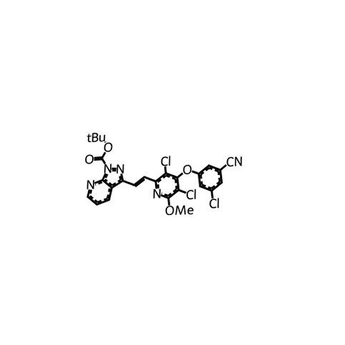 COc1nc(/C=C/c2nn(C(=O)OC(C)(C)C)c3ncccc23)c(Cl)c(Oc2cc(Cl)cc(C#N)c2)c1Cl